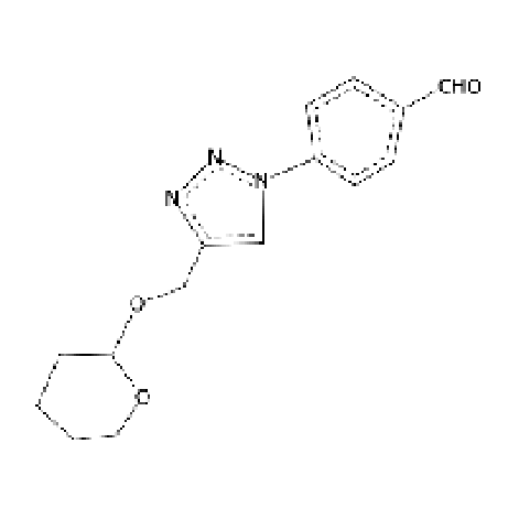 O=Cc1ccc(-n2cc(COC3CCCCO3)nn2)cc1